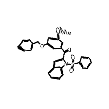 COc1cc(OCc2ccccc2)cc(C(=O)c2cc3ccccc3n2S(=O)(=O)c2ccccc2)c1